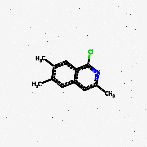 Cc1cc2cc(C)c(C)cc2c(Cl)n1